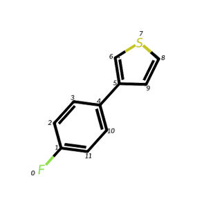 Fc1ccc(-c2[c]scc2)cc1